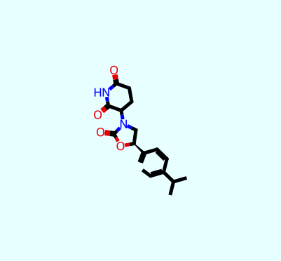 C=C(/C=C\C(=C/C)C(C)C)[C@@H]1CN(C2CCC(=O)NC2=O)C(=O)O1